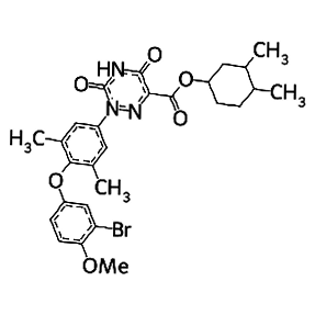 COc1ccc(Oc2c(C)cc(-n3nc(C(=O)OC4CCC(C)C(C)C4)c(=O)[nH]c3=O)cc2C)cc1Br